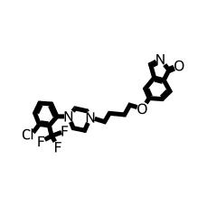 O=C1N=Cc2cc(OCCCCN3CCN(c4cccc(Cl)c4C(F)(F)F)CC3)ccc21